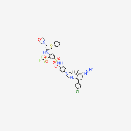 CC1(CN=[N+]=[N-])CCC(c2ccc(Cl)cc2)=C(CN2CCN(c3ccc(C(=O)NS(=O)(=O)c4ccc(N[C@H](CCN5CCOCC5)CSc5ccccc5)c(S(=O)(=O)C(F)(F)F)c4)cc3)CC2)C1